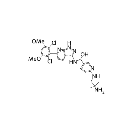 COc1cc(OC)c(Cl)c(-c2ccc3c(NC(O)c4ccc(NCC(C)(C)N)nc4)n[nH]c3n2)c1Cl